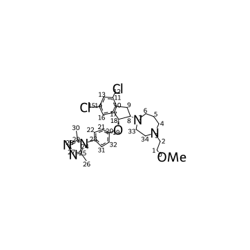 COCCN1CCCN([C@H]2Cc3c(Cl)cc(Cl)cc3[C@@H]2Oc2ccc(-n3c(C)nnc3C)cc2)CC1